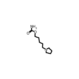 NC(=O)OCCCCCN1CCCC1